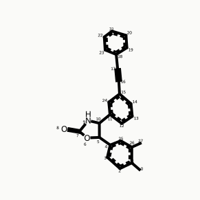 Cc1ccc(C2OC(=O)NC2c2cccc(C#Cc3ccccc3)c2)cc1C